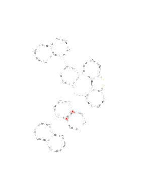 c1ccc(-c2cccc3cccc(-c4ccc(N(c5ccc(-c6cccc7ccccc67)cc5)c5cccc6sc7ccccc7c56)cc4)c23)cc1